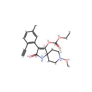 C#Cc1ccc(C)cc1C1=C(OC(=O)OCC)C2(CCN(OC)CC2)NC1=O